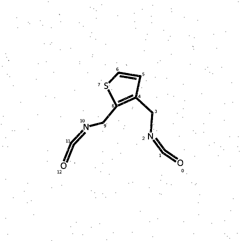 O=C=NCc1ccsc1CN=C=O